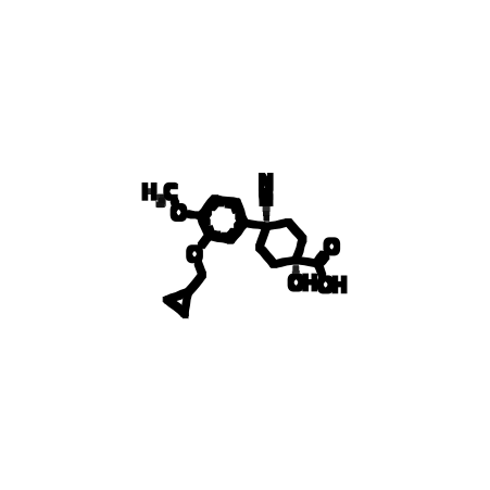 COc1ccc([C@]2(C#N)CC[C@](O)(C(=O)O)CC2)cc1OCC1CC1